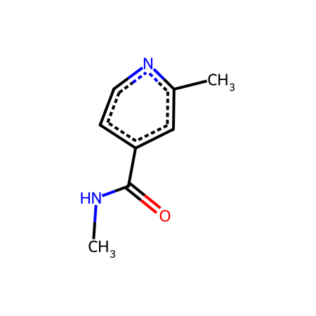 CNC(=O)c1ccnc(C)c1